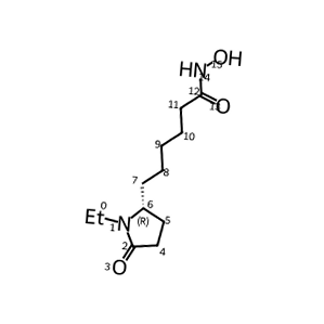 CCN1C(=O)CC[C@H]1CCCCCC(=O)NO